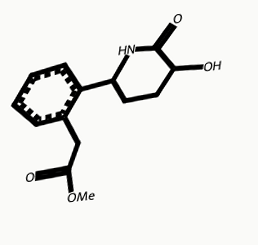 COC(=O)Cc1ccccc1C1CCC(O)C(=O)N1